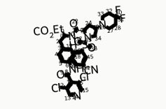 CCOC(=O)[C@H](Cc1ccc(NC(=O)c2c(Cl)cncc2Cl)cc1)NC(=O)[C@@H]1C[C@@H](N2CCC(F)(F)CC2)CN1S(=O)(=O)c1cccc(C#N)c1